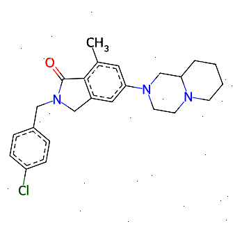 Cc1cc(N2CCN3CCCCC3C2)cc2c1C(=O)N(Cc1ccc(Cl)cc1)C2